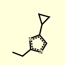 CCc1ncc(C2CC2)s1